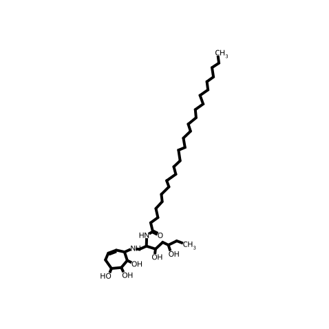 CCCCCCCCCCCCCCCCCCCCCCCCCC(=O)NC(CNC1C=CCC(O)C(O)C1O)C(O)CC(O)CC